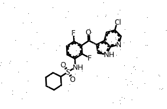 O=C(c1c(F)ccc(NS(=O)(=O)C2CCCCC2)c1F)c1c[nH]c2ncc(Cl)cc12